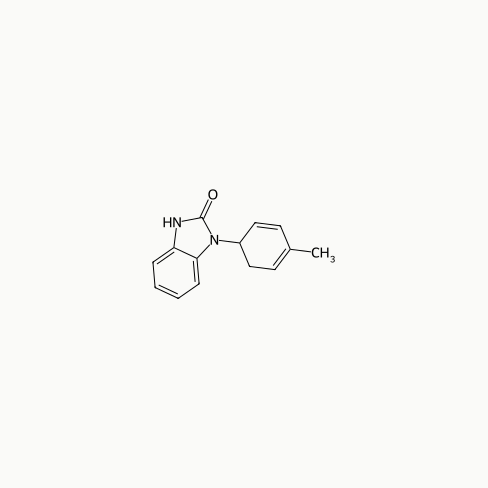 CC1=CCC(n2c(=O)[nH]c3ccccc32)C=C1